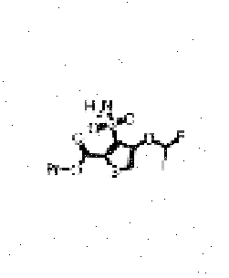 CC(C)OC(=O)c1scc(OC(F)F)c1S(N)(=O)=O